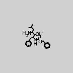 CC(C)CC(N)[C@@H](O)[C@H](Cc1ccccc1)NC(=O)OCc1ccccc1